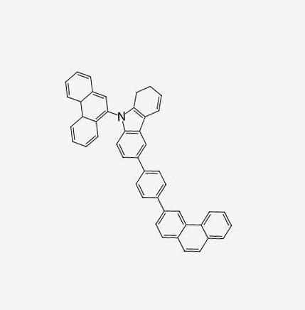 C1=CC2=CC(n3c4c(c5cc(-c6ccc(-c7ccc8ccc9ccccc9c8c7)cc6)ccc53)C=CCC4)=C3C=CC=CC3C2C=C1